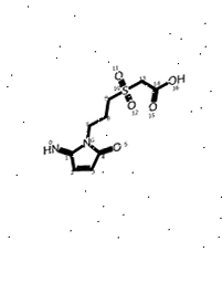 N=C1C=CC(=O)N1CCCS(=O)(=O)CC(=O)O